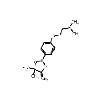 C=C1OB(c2ccc(OCCN(C)C)cc2)OC1(C)C